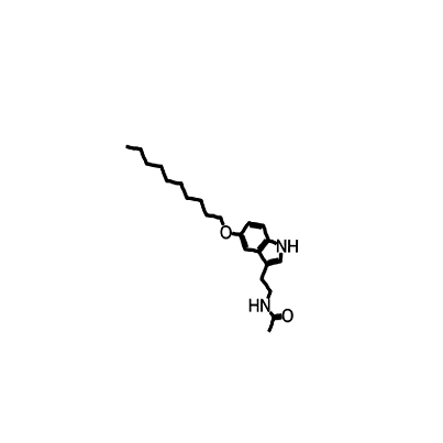 CCCCCCCCCCOc1ccc2[nH]cc(CCNC(C)=O)c2c1